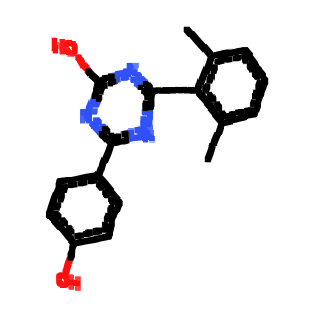 Cc1cccc(C)c1-c1nc(O)nc(-c2ccc(O)cc2)n1